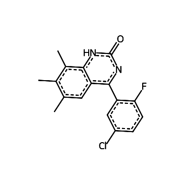 Cc1cc2c(-c3cc(Cl)ccc3F)nc(=O)[nH]c2c(C)c1C